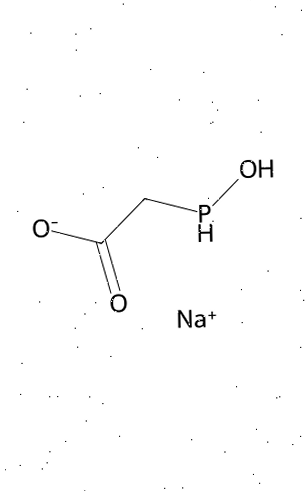 O=C([O-])CPO.[Na+]